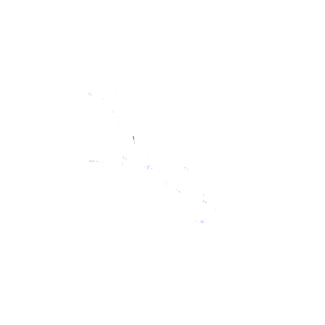 COC(=O)N[C@@H](CC/C=C/C(=O)N(C)C)C(=O)Nc1cncn(Cc2nc3cc(F)ccc3[nH]2)c1=O